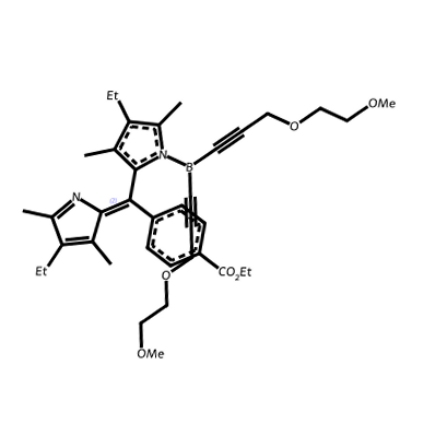 CCOC(=O)c1ccc(/C(=C2/N=C(C)C(CC)=C2C)c2c(C)c(CC)c(C)n2B(C#CCOCCOC)C#CCOCCOC)cc1